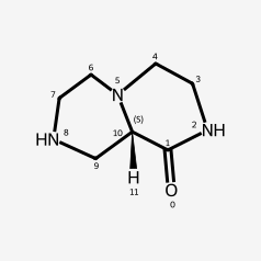 O=C1NCCN2CCNC[C@@H]12